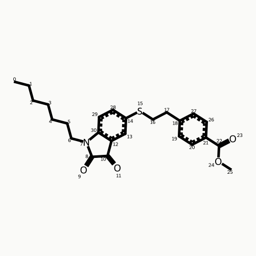 CCCCCCCN1C(=O)C(=O)c2cc(SCCc3ccc(C(=O)OC)cc3)ccc21